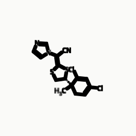 CC1([C@@H]2CS/C(=C(/C#N)n3ccnc3)S2)CC=C(Cl)C=C1Cl